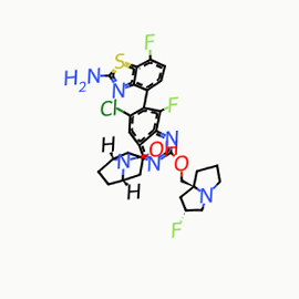 Nc1nc2c(-c3c(Cl)cc4c(N5[C@@H]6CC[C@H]5CC(O)C6)nc(OC[C@@]56CCCN5C[C@H](F)C6)nc4c3F)ccc(F)c2s1